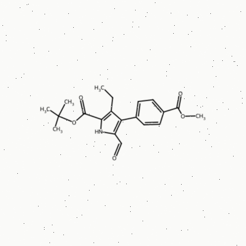 CCc1c(C(=O)OC(C)(C)C)[nH]c(C=O)c1-c1ccc(C(=O)OC)cc1